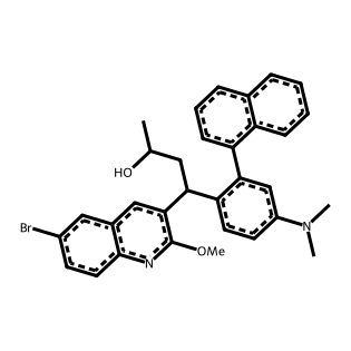 COc1nc2ccc(Br)cc2cc1C(CC(C)O)c1ccc(N(C)C)cc1-c1cccc2ccccc12